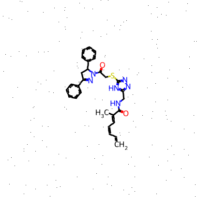 C=C/C=C\C=C(/C)C(=O)NCc1nnc(SCC(=O)N2N=C(c3ccccc3)CC2c2ccccc2)[nH]1